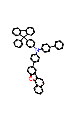 c1ccc(-c2ccc(N(c3ccc(-c4ccc5oc6c7ccccc7ccc6c5c4)cc3)c3ccc(C4(c5ccccc5)c5ccccc5-c5ccccc54)cc3)cc2)cc1